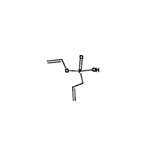 C=CCP(=O)(O)OC=C